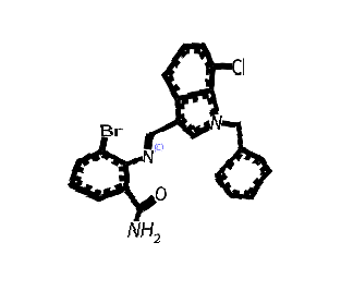 NC(=O)c1cccc(Br)c1/N=C/c1cn(Cc2ccccc2)c2c(Cl)cccc12